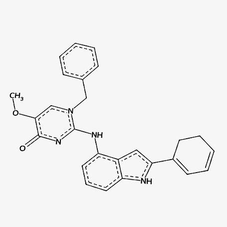 COc1cn(Cc2ccccc2)c(Nc2cccc3[nH]c(C4=CC=CCC4)cc23)nc1=O